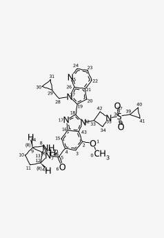 COc1cc(C(=O)N2C[C@H]3CC[C@@H]2[C@@H]3N)cc2nc(-c3cc4cccnc4n3CC3CC3)n(C3CN(S(=O)(=O)C4CC4)C3)c12